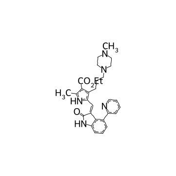 CCOC(=O)c1c(C)[nH]c(/C=C2\C(=O)Nc3cccc(-c4ccccn4)c32)c1CCCN1CCN(C)CC1